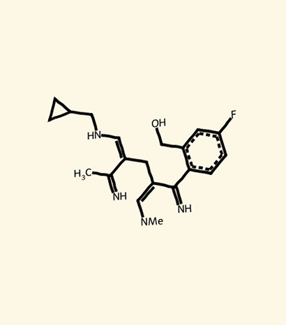 CN/C=C(/C/C(=C/NCC1CC1)C(C)=N)C(=N)c1ccc(F)cc1CO